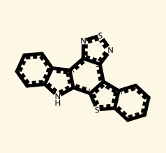 c1ccc2c(c1)[nH]c1c3sc4ccccc4c3c3nsnc3c21